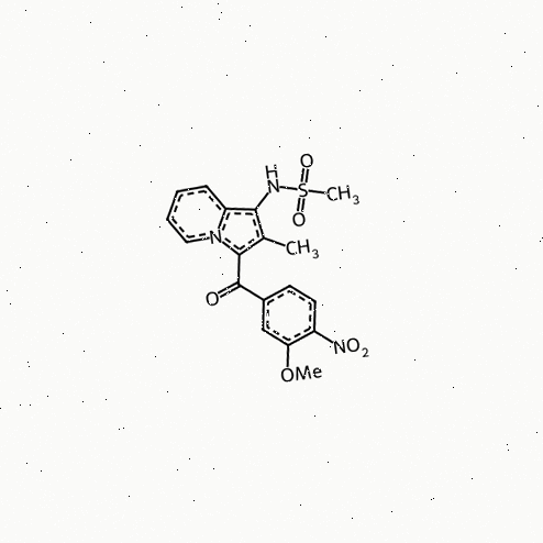 COc1cc(C(=O)c2c(C)c(NS(C)(=O)=O)c3ccccn23)ccc1[N+](=O)[O-]